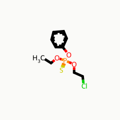 CCOP(=S)(OCCCl)Oc1ccccc1